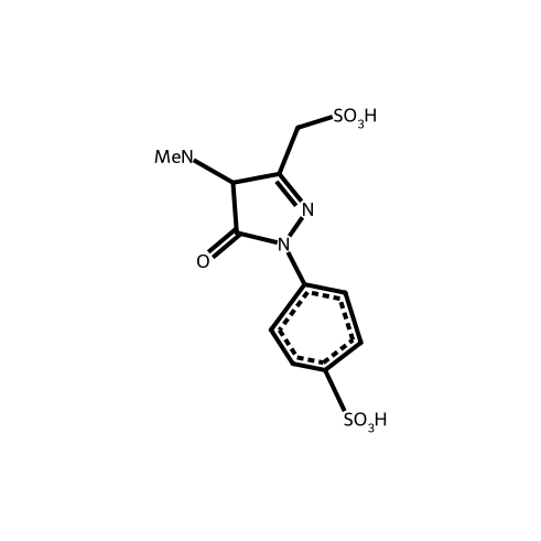 CNC1C(=O)N(c2ccc(S(=O)(=O)O)cc2)N=C1CS(=O)(=O)O